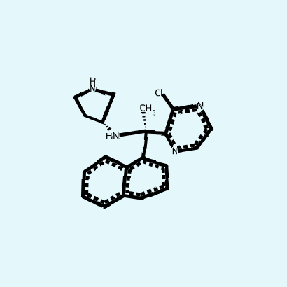 C[C@](N[C@@H]1CCNC1)(c1nccnc1Cl)c1cccc2ccccc12